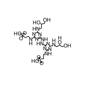 O=S(=O)(O)CCNc1nc(NCC(O)CO)nc(NNc2nc(NCCS(=O)(=O)O)nc(NCC(O)CO)n2)n1